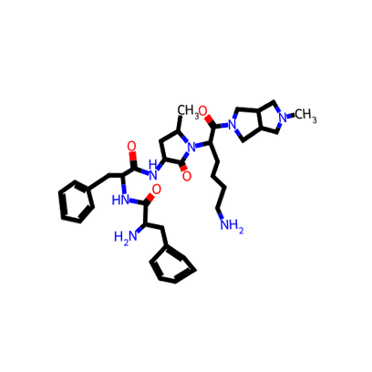 CC1CC(NC(=O)C(Cc2ccccc2)NC(=O)C(N)Cc2ccccc2)C(=O)N1C(CCCCN)C(=O)N1CC2CN(C)CC2C1